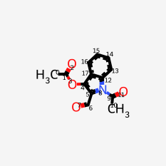 CC(=O)Oc1c(C=O)n(C(C)=O)c2ccccc12